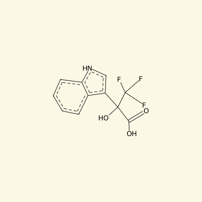 O=C(O)C(O)(c1c[nH]c2ccccc12)C(F)(F)F